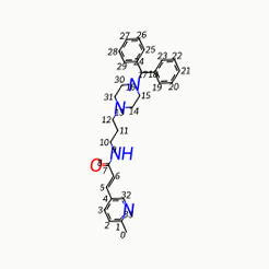 Cc1ccc(C=CC(=O)NCCCN2CCN(C(c3ccccc3)c3ccccc3)CC2)cn1